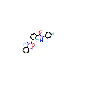 O=C(Nc1ccc(F)cc1)c1cccc(C(=O)Nc2ccccc2I)c1F